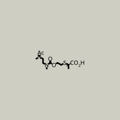 CC(=O)N(C)CCN(C)C(=O)OCCS[C@H](C)C(=O)O